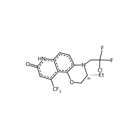 CC[C@@H]1COc2c(ccc3[nH]c(=O)cc(C(F)(F)F)c23)N1CC(F)(F)Cl